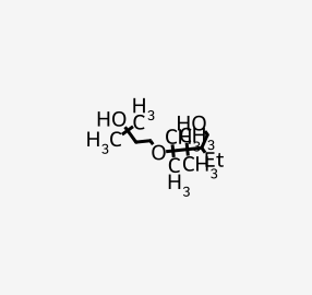 CCC(CO)C(C)(C)C(C)(C)OCCC(C)(C)O